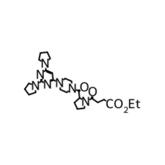 CCOC(=O)CCC(=O)N1CCCC1C(=O)N1CCN(c2cc(N3CCCC3)nc(N3CCCC3)n2)CC1